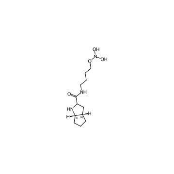 O=C(NCCCCON(O)O)C1C[C@@H]2CCC[C@@H]2N1